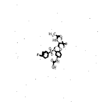 CC(=O)N[C@@H]([C@H]1CN(S(=O)(=O)c2ccc(F)cc2)c2cc(NC(=O)O)ccc2O1)C(F)(F)F